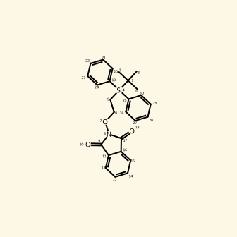 CC(C)(C)[Si](CCON1C(=O)c2ccccc2C1=O)(c1ccccc1)c1ccccc1